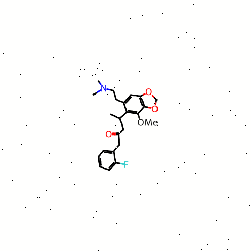 COc1c2c(cc(CCN(C)C)c1C(C)CC(=O)Cc1ccccc1F)OCO2